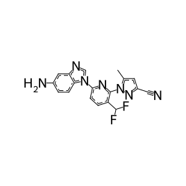 Cc1cc(C#N)nn1-c1nc(-n2cnc3cc(N)ccc32)ccc1C(F)F